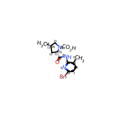 Cc1ccc(Br)nc1NC(=O)[C@@H]1C[C@@H](C)CN1C(=O)O